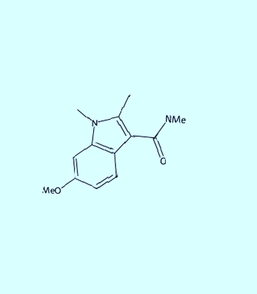 CNC(=O)c1c(C)n(C)c2cc(OC)ccc12